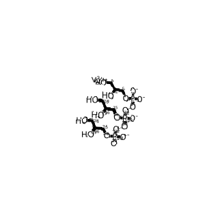 O=P([O-])([O-])OCC(O)CO.O=P([O-])([O-])OCC(O)CO.O=P([O-])([O-])OCC(O)CO.[V+3].[V+3]